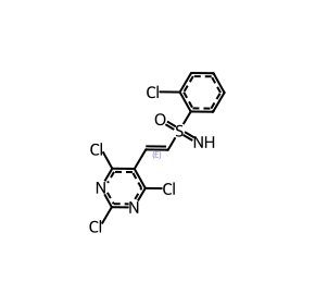 N=S(=O)(/C=C/c1c(Cl)nc(Cl)nc1Cl)c1ccccc1Cl